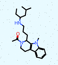 CCC(CC(C)C)NCCCC1c2c(c3ccccc3n2C)CCN1C(C)=O